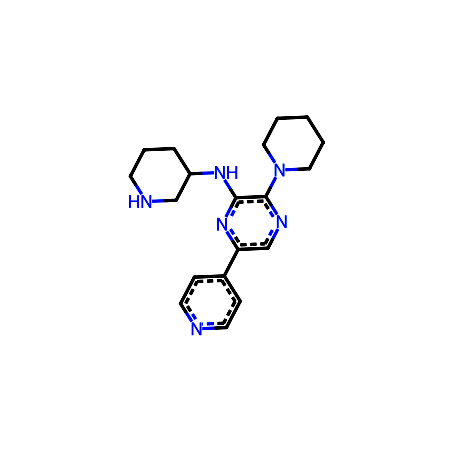 c1cc(-c2cnc(N3CCCCC3)c(NC3CCCNC3)n2)ccn1